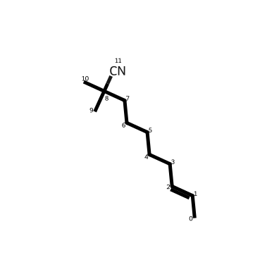 CC=CCCCCCC(C)(C)C#N